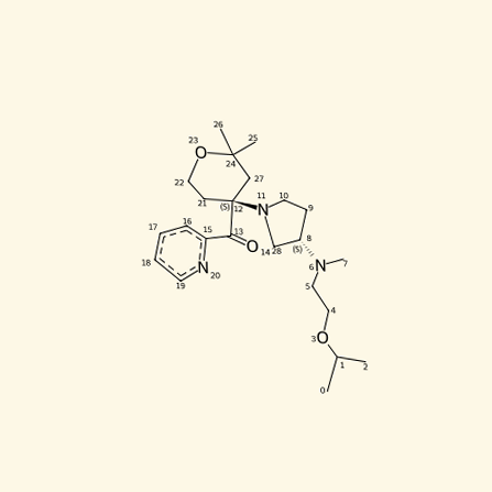 CC(C)OCCN(C)[C@H]1CCN([C@@]2(C(=O)c3ccccn3)CCOC(C)(C)C2)C1